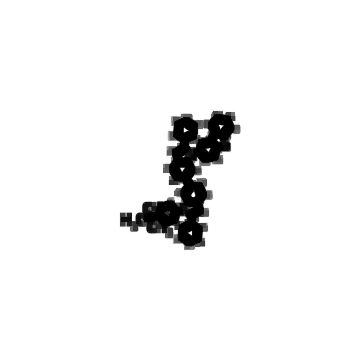 CC(C)(C)c1ccc(-n2c(-c3ccccc3)cc3ccc(-c4ccc5cc(-c6ccccc6)n(-c6ccc7sc8ccccc8c7c6)c5c4)cc32)cc1